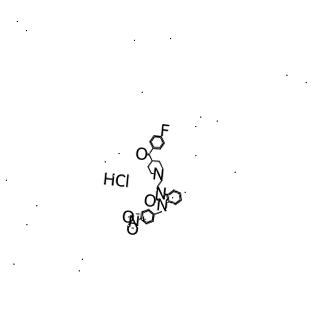 Cl.O=C(c1ccc(F)cc1)C1CCN(CCn2c(=O)n(Cc3ccc([N+](=O)[O-])cc3)c3ccccc32)CC1